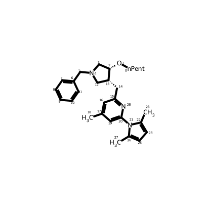 CCCCCO[C@H]1CN(Cc2ccccc2)C[C@H]1Cc1cc(C)cc(-n2c(C)ccc2C)n1